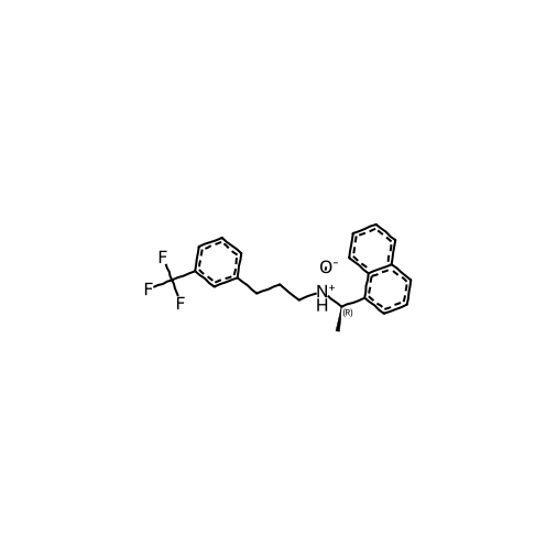 C[C@H](c1cccc2ccccc12)[NH+]([O-])CCCc1cccc(C(F)(F)F)c1